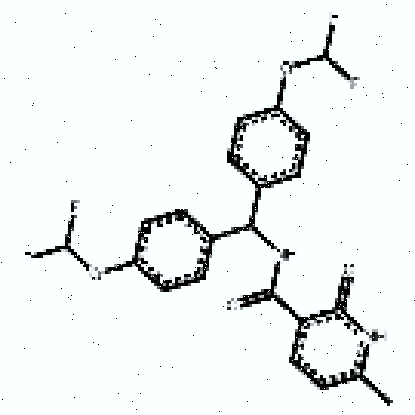 Cc1ccc(C(=O)NC(c2ccc(OC(F)F)cc2)c2ccc(OC(F)F)cc2)c(=O)[nH]1